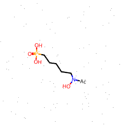 CC(=O)N(O)CCCCCP(=O)(O)O